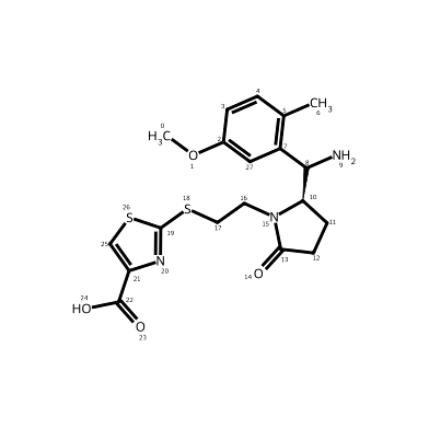 COc1ccc(C)c(C(N)[C@H]2CCC(=O)N2CCSc2nc(C(=O)O)cs2)c1